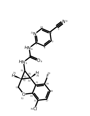 N#Cc1ccc(NC(=O)NC2[C@H]3COc4c(Cl)ccc(F)c4[C@@H]23)nc1